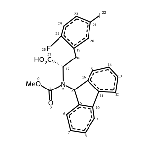 COC(=O)N(C1c2ccccc2-c2ccccc21)[C@@H](Cc1cc(I)ccc1F)C(=O)O